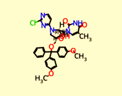 COc1ccc(C(OC[C@@]23CN(c4ccnc(Cl)n4)[C@@H]([C@H](n4cc(C)c(=O)[nH]c4=O)O2)[C@@H]3O)(c2ccccc2)c2ccc(OC)cc2)cc1